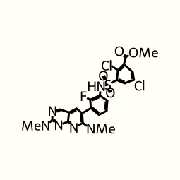 CNc1ncc2cc(-c3cccc(NS(=O)(=O)c4cc(Cl)cc(C(=O)OC)c4Cl)c3F)c(NC)nc2n1